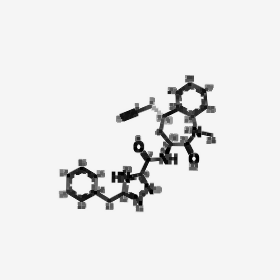 C#CC[C@H]1C[C@H](NC(=O)c2nnc(Cc3ccccc3)[nH]2)C(=O)N(C)c2ccccc21